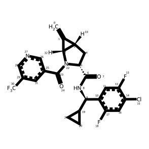 C=C1[C@@H]2[C@H]1C[C@H](C(=O)N[C@@H](c1cc(F)c(Cl)cc1F)C1CC1)N2C(=O)c1cncc(C(F)(F)F)c1